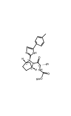 COC(=O)N[C@H](C(=O)N1[C@@H]2CC[C@@H](C2)[C@H]1c1ncc(-c2ccc(C)cc2)[nH]1)C(C)C